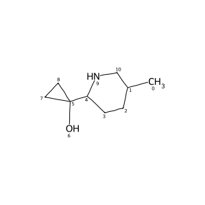 CC1CCC(C2(O)CC2)NC1